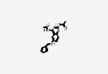 CC(=O)Nc1nc(NC(C)=O)c2cc(NCC3=CCC=C3)ccc2n1